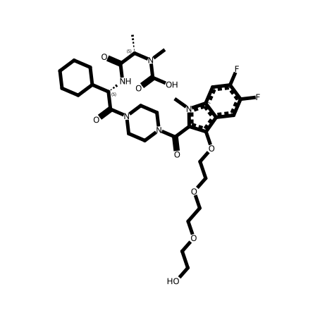 C[C@@H](C(=O)N[C@H](C(=O)N1CCN(C(=O)c2c(OCCOCCOCCO)c3cc(F)c(F)cc3n2C)CC1)C1CCCCC1)N(C)C(=O)O